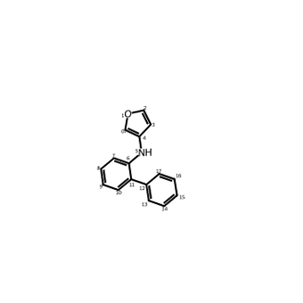 [c]1occc1Nc1ccccc1-c1ccccc1